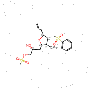 C=CC[C@@H]1O[C@H](C[C@H](O)COS(C)(=O)=O)[C@H](OC)[C@H]1CS(=O)(=O)c1ccccc1